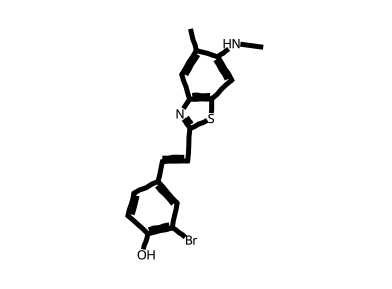 CNc1cc2sc(C=Cc3ccc(O)c(Br)c3)nc2cc1C